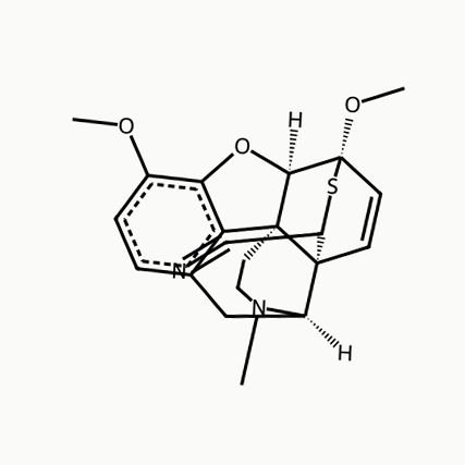 COc1ccc2c3c1O[C@@H]1[C@]34CCN(C)[C@H](C2)[C@]42C=C[C@@]1(OC)SC2C#N